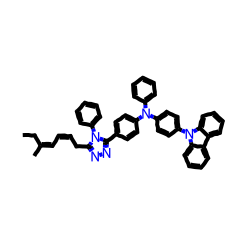 CC/C(C)=C\C=C/Cc1nnc(-c2ccc(N(c3ccccc3)c3ccc(-n4c5ccccc5c5ccccc54)cc3)cc2)n1-c1ccccc1